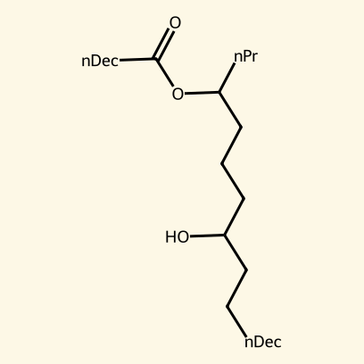 CCCCCCCCCCCCC(O)CCCC(CCC)OC(=O)CCCCCCCCCC